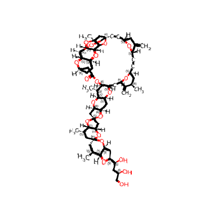 C=C1C[C@@H]2CC[C@@]34C[C@]5(C)O[C@H]6[C@@H](O3)[C@H]3O[C@H](CC[C@@H]3O[C@H]6C5O4)CC(=O)O[C@@H]3[C@@H](C)[C@@H]4O[C@@H]5C[C@]6(C[C@@H]7O[C@]8(C[C@H](C)[C@@H]9O[C@H]([C@@H](O)C[C@@H](O)CO)C[C@@H]9O8)C[C@H](C)[C@@H]7O6)O[C@@H]5C[C@@H]4O[C@H]3C[C@H]3O[C@@H](CC[C@@H]1O2)C[C@@H](C)C3=C